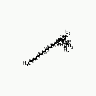 C=C(CCC)C(=O)O.C=CC(N)=O.CCCCCCCCCCCCCCCCCCN(C)C